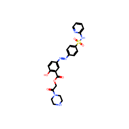 O=C(OCC(=O)N1CCNCC1)c1cc(N=Nc2ccc(S(=O)(=O)Nc3ccccn3)cc2)ccc1O